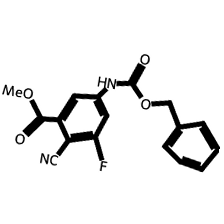 COC(=O)c1cc(NC(=O)OCc2ccccc2)cc(F)c1C#N